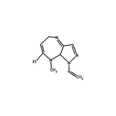 C=NN1N=CC2=NCC=C(CC)N(C)C21